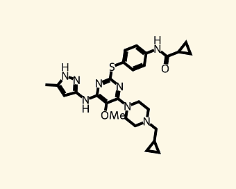 COc1c(Nc2cc(C)[nH]n2)nc(Sc2ccc(NC(=O)C3CC3)cc2)nc1N1CCN(CC2CC2)CC1